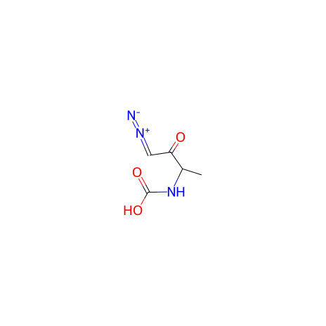 CC(NC(=O)O)C(=O)C=[N+]=[N-]